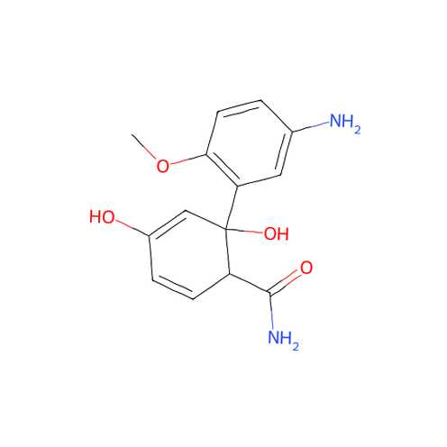 COc1ccc(N)cc1C1(O)C=C(O)C=CC1C(N)=O